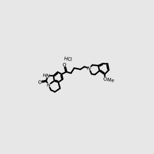 COc1cccc2c1CCN(CCCCC(=O)c1cc3c4c(c1)[nH]c(=O)n4CCC3)C2.Cl